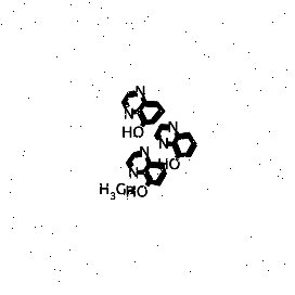 Oc1cccc2nccnc12.Oc1cccc2nccnc12.Oc1cccc2nccnc12.[GaH3]